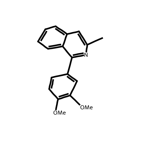 COc1ccc(-c2nc(C)cc3ccccc23)cc1OC